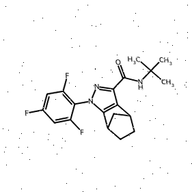 CC(C)(C)NC(=O)c1nn(-c2c(F)cc(F)cc2F)c2c1C1CCC2C1